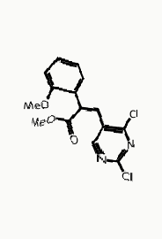 COC(=O)C(Cc1cnc(Cl)nc1Cl)c1ccccc1OC